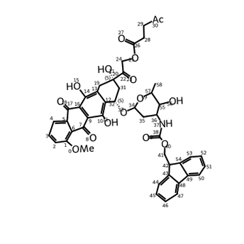 COc1cccc2c1C(=O)c1c(O)c3c(c(O)c1C2=O)C[C@@](O)(C(=O)COC(=O)CCC(C)=O)C[C@@H]3OC1CC(NC(=O)OCC2c3ccccc3-c3ccccc32)C(O)C(C)O1